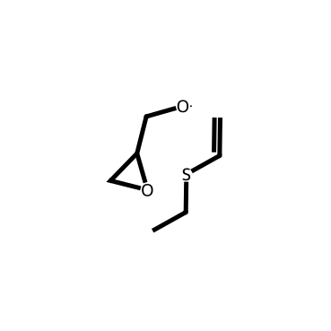 C=CSCC.[O]CC1CO1